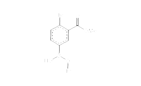 CCOB(O)c1ccc(Br)c(C(=O)OC)c1